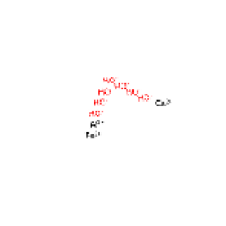 [Al+3].[Ca+2].[Fe+2].[OH-].[OH-].[OH-].[OH-].[OH-].[OH-].[OH-]